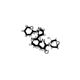 C[C@@H]1COCCN1c1nc2c(-c3ccnn3C3CCCCO3)nccc2cc1Cl